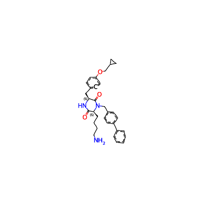 NCCCC[C@H]1C(=O)N[C@@H](Cc2ccc(OCC3CC3)cc2)C(=O)N1Cc1ccc(-c2ccccc2)cc1